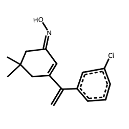 C=C(C1=C/C(=N/O)CC(C)(C)C1)c1cccc(Cl)c1